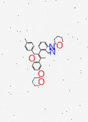 CC1=C(c2cccc3c2cnn3C2CCCCO2)C(c2ccc(C)cc2)Oc2ccc(OC3CCCCO3)cc21